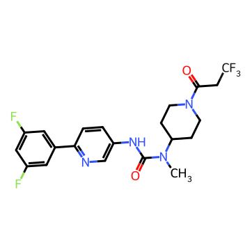 CN(C(=O)Nc1ccc(-c2cc(F)cc(F)c2)nc1)C1CCN(C(=O)CC(F)(F)F)CC1